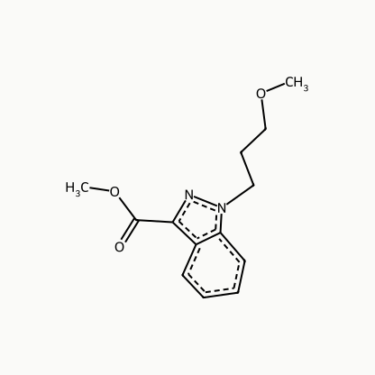 COCCCn1nc(C(=O)OC)c2ccccc21